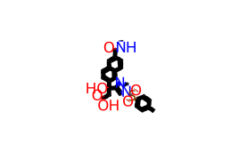 CNC(=O)c1ccc2cc([C@@](O)(CC(=O)O)c3cn(S(=O)(=O)c4ccc(C)cc4)cn3)ccc2c1